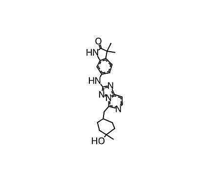 CC1(O)CCC(Cc2nccc3nc(Nc4ccc5c(c4)NC(=O)C5(C)C)nn23)CC1